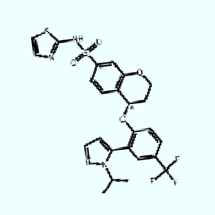 CC(C)n1nccc1-c1cc(C(F)(F)F)ccc1O[C@@H]1CCOc2cc(S(=O)(=O)Nc3nccs3)ccc21